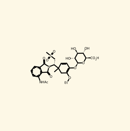 CCOC1=C(O[C@@H]2O[C@H](C(=O)O)[C@@H](O)[C@H](O)[C@H]2O)C=CC(C)([C@@H](CS(C)(=O)=O)N2C(=O)c3cccc(NC(C)=O)c3C2=O)C1